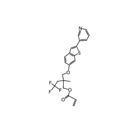 C=CC(=O)OCC(C)(COc1ccc2cc(-c3cccnc3)sc2c1)CC(F)(F)F